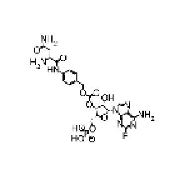 NC(=O)C[C@H](N)C(=O)Nc1ccc(COC(=O)O[C@H]2[C@H](O)[C@H](n3cnc4c(N)nc(F)nc43)O[C@@H]2COP(=O)(O)O)cc1